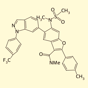 CNC(=O)c1c(-c2ccc(C)cc2)oc2cc(N(C)S(C)(=O)=O)c(-c3ccc4cnn(-c5ccc(C(F)(F)F)cc5)c4c3)cc12